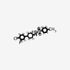 Cc1ccc(S(=O)(=O)NN=C2CCC(c3ccc(Cl)c(F)c3)CC2)cc1